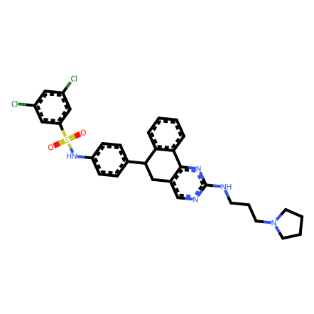 O=S(=O)(Nc1ccc(C2Cc3cnc(NCCCN4CCCC4)nc3-c3ccccc32)cc1)c1cc(Cl)cc(Cl)c1